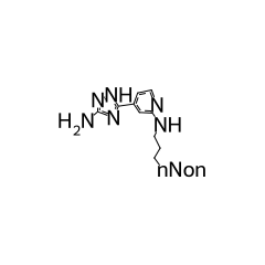 CCCCCCCCCCCCNc1cc(-c2nc(N)n[nH]2)ccn1